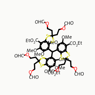 CCOC(=O)c1c(OC)c(OC)c([C](c2c(OC)c(OC)c(C(=O)OCC)c3c2SC(CCOC=O)(CCOC=O)S3)c2c(OC)c(OC)c(C(=O)OCC)c3c2SC(CCOC=O)(CCOC=O)S3)c2c1SC(CCOC=O)(CCOC=O)S2